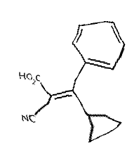 N#CC(C(=O)O)=C(c1ccccc1)C1CC1